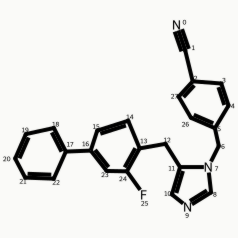 N#Cc1ccc(Cn2cncc2Cc2ccc(-c3ccccc3)cc2F)cc1